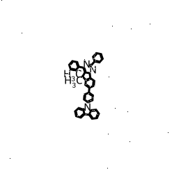 CC1(C)c2cc(-c3ccc(-n4c5ccccc5c5ccccc54)cc3)ccc2-c2nc(-c3ccccc3)nc(-c3ccccc3)c21